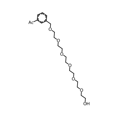 CC(=O)c1cccc(COCCOCCOCCOCCOCCOCCO)c1